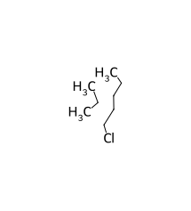 CCC.CCCCCCl